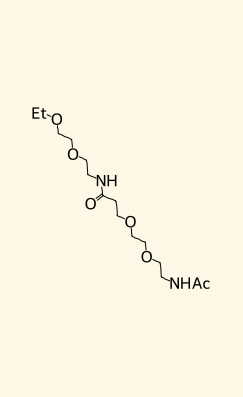 CCOCCOCCNC(=O)CCOCCOCCNC(C)=O